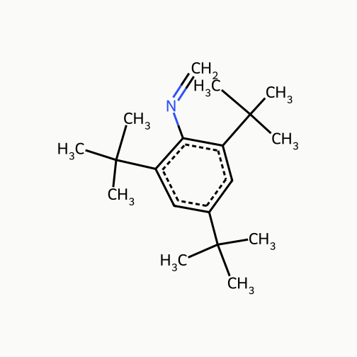 C=Nc1c(C(C)(C)C)cc(C(C)(C)C)cc1C(C)(C)C